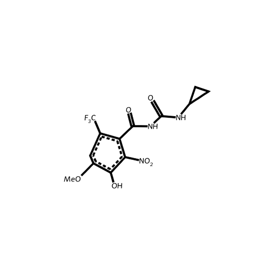 COc1cc(C(F)(F)F)c(C(=O)NC(=O)NC2CC2)c([N+](=O)[O-])c1O